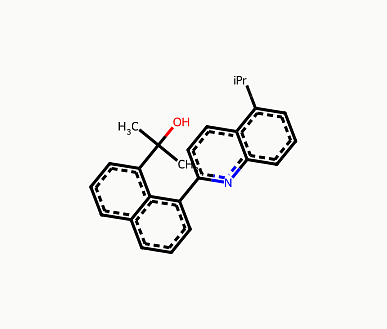 CC(C)c1cccc2nc(-c3cccc4cccc(C(C)(C)O)c34)ccc12